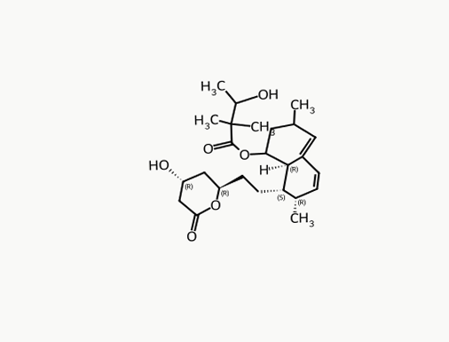 CC1C=C2C=C[C@H](C)[C@H](CC[C@@H]3C[C@@H](O)CC(=O)O3)[C@H]2C(OC(=O)C(C)(C)C(C)O)C1